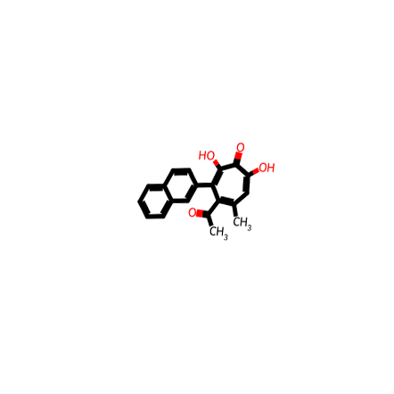 CC(=O)c1c(C)cc(O)c(=O)c(O)c1-c1ccc2ccccc2c1